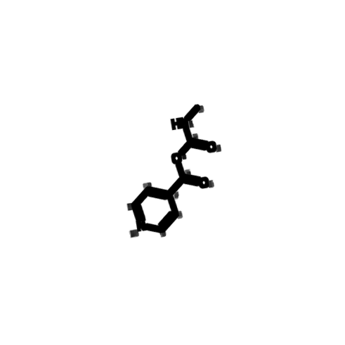 CNC(=O)OC(=O)c1ccncc1